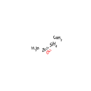 [GaH3].[InH3].[O-2].[SiH4].[Zn+2]